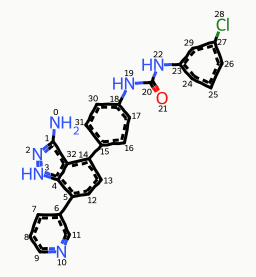 Nc1n[nH]c2c(-c3cccnc3)ccc(-c3ccc(NC(=O)Nc4cccc(Cl)c4)cc3)c12